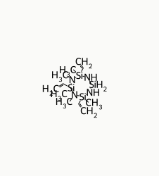 C=C[Si]1(C)N[SiH2]N[Si](C)(C=C)N(C)[Si](C)(C=C)N1C